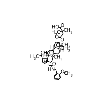 C=C(C)[C@@H]1CC[C@]2(CC(=O)NCc3ccccc3OC)CC[C@]3(C)[C@H](CC[C@@H]4[C@@]5(C)CC[C@H](OC(=O)CC(C)(C)C(=O)O)C(C)(C)[C@@H]5CC[C@]43C)[C@@H]12